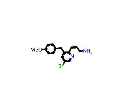 COc1ccc(Cc2cc(Br)cnc2/C=C\CN)cc1